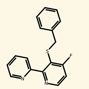 Fc1ccnc(-c2ccccn2)c1SCc1ccccc1